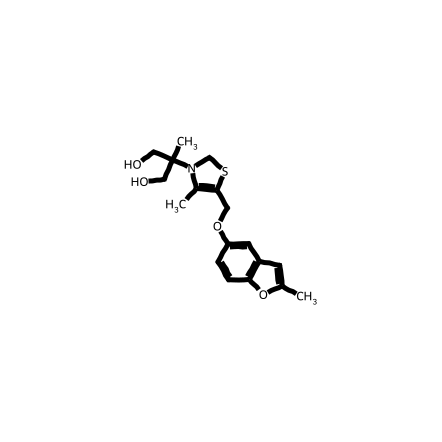 CC1=C(COc2ccc3oc(C)cc3c2)SCN1C(C)(CO)CO